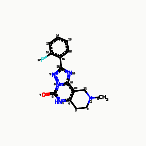 CN1CCc2[nH]c(=O)n3nc(-c4ccccc4F)nc3c2C1